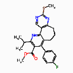 COC(=O)c1c(C(C)C)nc2c(c1-c1ccc(F)cc1)CCCc1nc(SC)ncc1-2